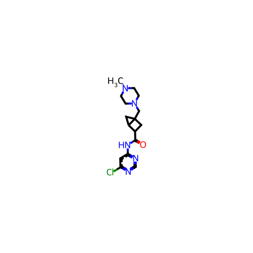 CN1CCN(CC23CC(C(=O)Nc4cc(Cl)ncn4)C2C3)CC1